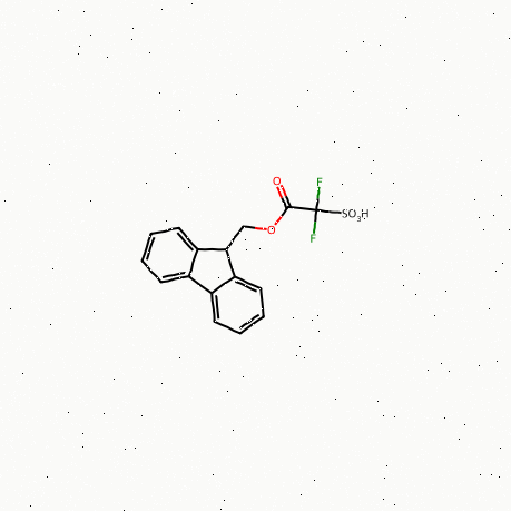 O=C(OCC1c2ccccc2-c2ccccc21)C(F)(F)S(=O)(=O)O